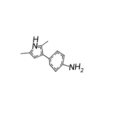 Cc1cc(-c2ccc(N)cc2)c(C)[nH]1